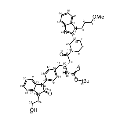 COCCCn1c([C@@H]2CCCN(C(=O)C[C@@H](Cc3ccc(-n4c(=O)n(CCO)c5ccccc54)cc3)NC(=O)OC(C)(C)C)C2)nc2ccccc21